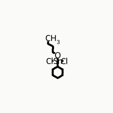 CCCC[O][Sn]([Cl])([Cl])[CH]1CCCCC1